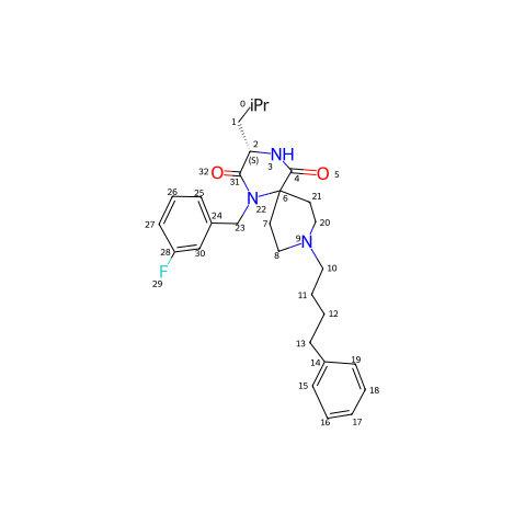 CC(C)C[C@@H]1NC(=O)C2(CCN(CCCCc3ccccc3)CC2)N(Cc2cccc(F)c2)C1=O